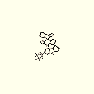 CC1(C)OB(c2cc(N3c4ccccc4C4(c5ccccc5-c5ccccc54)c4ccccc43)c3c(c2)sc2ccccc23)OC1(C)C